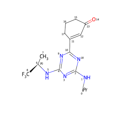 CC(C)Nc1nc(N[C@H](C)C(F)(F)F)nc(C2=CC(=O)CCC2)n1